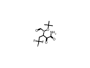 CC(C)(C)ON(C=O)C(CC(F)(F)F)C(=O)C(N)=O